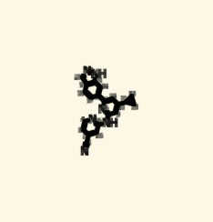 N#Cc1ccnc(Nc2cc(C3CC3)cc(-c3ccc4cn[nH]c4c3)n2)c1